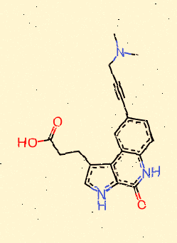 CN(C)CC#Cc1ccc2[nH]c(=O)c3[nH]cc(CCC(=O)O)c3c2c1